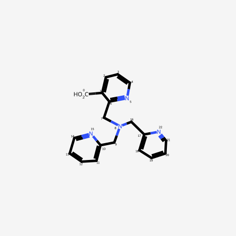 O=C(O)c1cccnc1CN(Cc1ccccn1)Cc1ccccn1